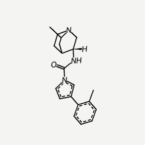 Cc1ccccc1-c1ccn(C(=O)N[C@H]2CN3CCC2CC3C)c1